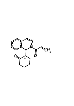 C=CC(=O)N1N=Cc2ccccc2C1[C@@H]1CCCCC1=O